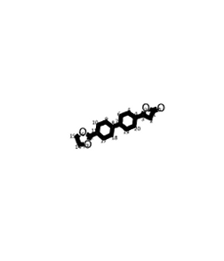 O=C1CC(C2CCC(C3CCC(C4OCCO4)CC3)CC2)O1